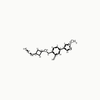 Cn1cc(-c2ccc(COC3CC(N=C=S)C3)c(F)c2)cn1